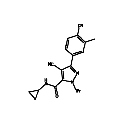 Cc1cc(-c2nn(C(C)C)c(C(=O)NC3CC3)c2C#N)ccc1C#N